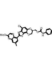 COc1cnc2c(-c3nc4c(Cl)cc5c(c4s3)OC[C@H](COC(=O)Nc3ccccc3)O5)cc(C)cc2n1